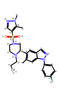 Cc1cc2c(cnn2-c2ccc(F)cc2)cc1[C@@H]1CN(S(=O)(=O)c2cnn(C)c2C)CCN1CCC(F)(F)F